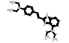 CCN(CC)c1ccc(C=Cc2nc3c(N(CC)CC)cccc3o2)cc1